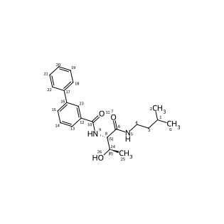 CC(C)CCNC(=O)[C@@H](NC(=O)c1cccc(-c2ccccc2)c1)[C@@H](C)O